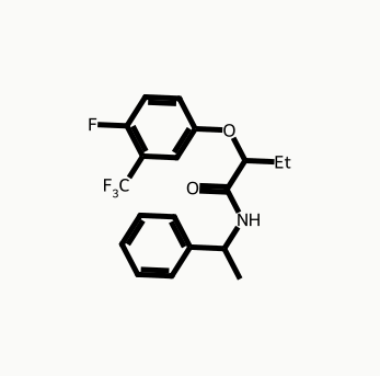 CCC(Oc1ccc(F)c(C(F)(F)F)c1)C(=O)NC(C)c1ccccc1